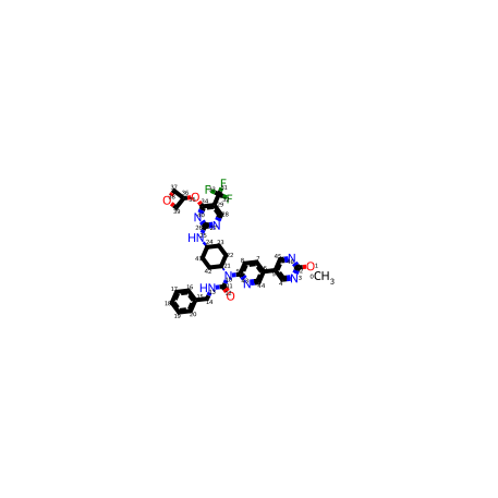 COc1ncc(-c2ccc(N(C(=O)NCc3ccccc3)[C@H]3CC[C@H](Nc4ncc(C(F)(F)F)c(OC5COC5)n4)CC3)nc2)cn1